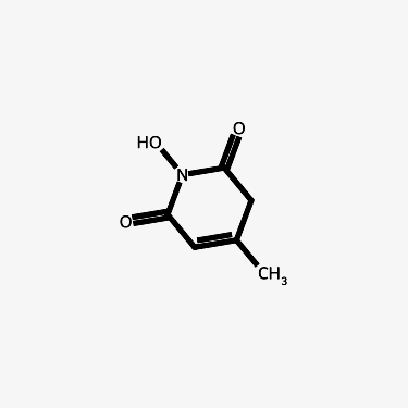 CC1=CC(=O)N(O)C(=O)C1